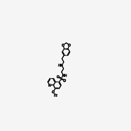 CCOc1ccc(S(=O)(=O)NCCNCCc2ccc3c(c2)OCO3)c2cccnc12